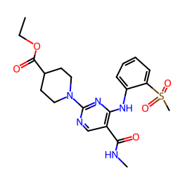 CCOC(=O)C1CCN(c2ncc(C(=O)NC)c(Nc3ccccc3S(C)(=O)=O)n2)CC1